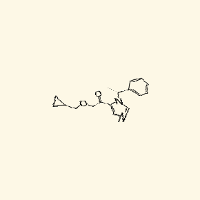 C[C@H](c1ccccc1)n1cncc1C(=O)COCC1CC1